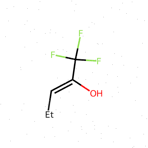 CC/C=C(\O)C(F)(F)F